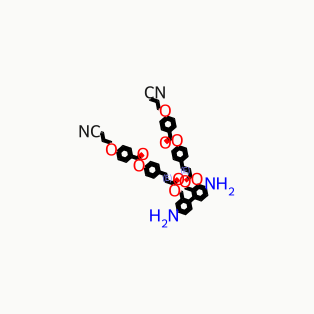 N#CCCCOc1ccc(C(=O)Oc2ccc(/C=C/C(=O)OCc3cc(N)ccc3-c3ccc(N)cc3COC(=O)/C=C/c3ccc(OC(=O)c4ccc(OCCCC#N)cc4)cc3)cc2)cc1